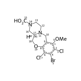 COc1c(Cl)c(Br)c(Cl)c2c1CN1CCN(C(=O)O)C[C@@H]1CO2